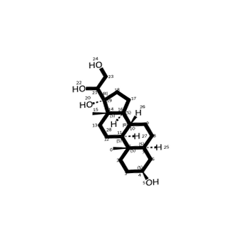 C[C@]12CC[C@H](O)C[C@@H]1CC[C@@H]1[C@@H]2CC[C@@]2(C)[C@H]1CC[C@]2(O)C(O)CO